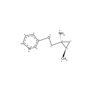 C[C@@H]1C[C@]1(N)COc1cccnc1